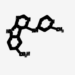 Cc1cc(Nc2ncnc3[nH]c4ccc(C(=O)O)cc4c23)ccn1